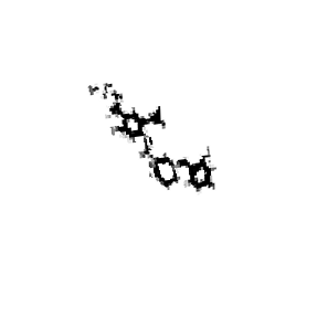 COC(=O)c1cc(C2CC2)c(OC[C@@H]2CCCN(Cc3ccc(F)cc3Cl)C2)cc1F